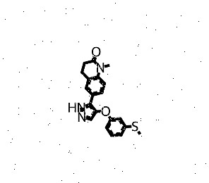 CSc1cccc(Oc2cn[nH]c2-c2ccc3c(c2)CCC(=O)N3C)c1